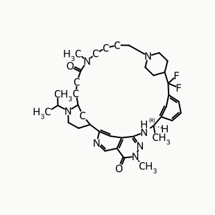 CC(C)N1CCC2CC1CCC(=O)N(C)CCCCN1CCC(CC1)C(F)(F)c1cccc(c1)[C@@H](C)Nc1nn(C)c(=O)c3cnc2cc13